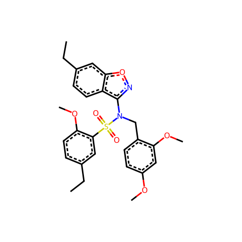 CCc1ccc(OC)c(S(=O)(=O)N(Cc2ccc(OC)cc2OC)c2noc3cc(CC)ccc23)c1